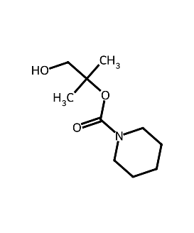 CC(C)(CO)OC(=O)N1CCCCC1